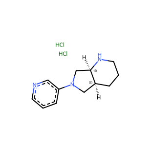 Cl.Cl.c1cncc(N2C[C@@H]3CCCN[C@@H]3C2)c1